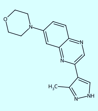 Cc1n[nH]cc1-c1cnc2ccc(N3CCOCC3)cc2n1